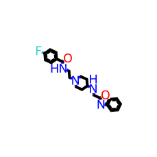 O=C(NCCN1CCC(NCc2nc3ccccc3o2)CC1)c1ccc(F)cc1